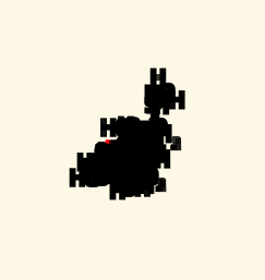 CC(C)C[C@H](NC(=O)[C@H](CCC(=O)O)NC(=O)[C@H](CCC(N)=O)NC(=O)[C@H](CC(C)C)NC(=O)[C@H](CC(N)=O)NC(=O)[C@H](CCC(=O)O)NC(=O)[C@H](Cc1ccc(O)cc1)NC(=O)[C@H](CC(=O)O)NC(=O)[C@@H]1CCCN1C(=O)[C@H](C)NC(=O)CNC(=O)[C@H](CCC(=O)O)NC(=O)[C@H](CCC(=O)O)NC(=O)CCCCCNC(=O)CCCC[C@@H]1SC[C@@H]2NC(=O)N[C@@H]21)C(=O)N[C@@H](CC(N)=O)C(=O)O